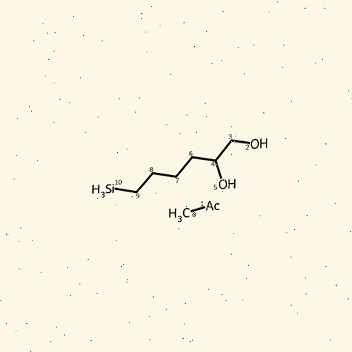 CC(C)=O.OCC(O)CCCC[SiH3]